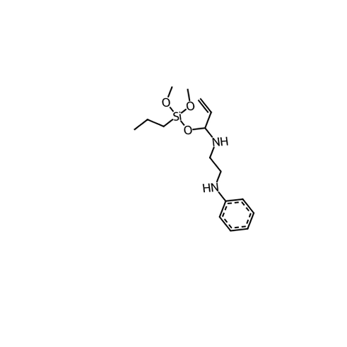 C=CC(NCCNc1ccccc1)O[Si](CCC)(OC)OC